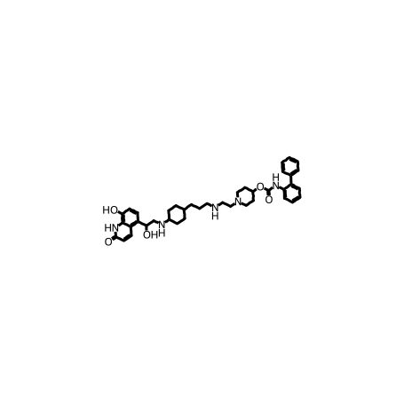 O=C(Nc1ccccc1-c1ccccc1)OC1CCN(CCNCCCC2CCC(NCC(O)c3ccc(O)c4[nH]c(=O)ccc34)CC2)CC1